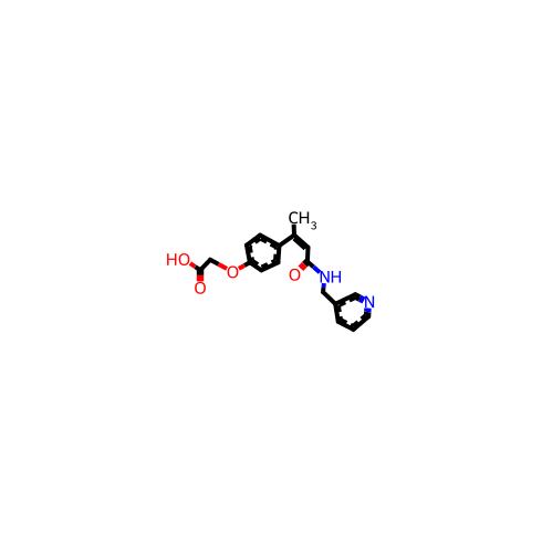 CC(=CC(=O)NCc1cccnc1)c1ccc(OCC(=O)O)cc1